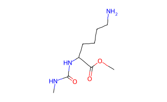 CNC(=O)NC(CCCCN)C(=O)OC